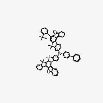 CC(C)(C)c1ccccc1-c1cc2c(c3c1oc1ccccc13)-c1ccc(N(c3ccc(-c4ccccc4)cc3)c3ccc4c(c3)C(C)(C)c3c5c(c6oc7ccccc7c6c3-4)-c3ccccc3C5(C)C)cc1C2(C)C